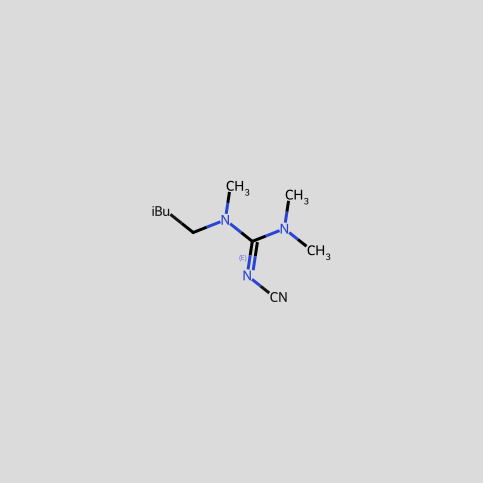 CCC(C)CN(C)/C(=N/C#N)N(C)C